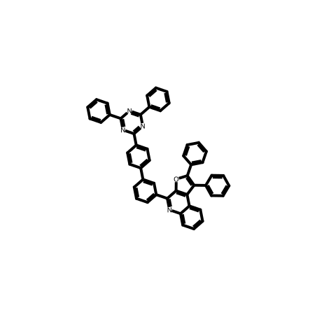 c1ccc(-c2nc(-c3ccccc3)nc(-c3ccc(-c4cccc(-c5nc6ccccc6c6c(-c7ccccc7)c(-c7ccccc7)oc56)c4)cc3)n2)cc1